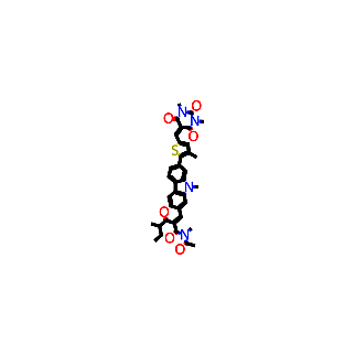 CCC(C)C(=O)/C(=C\c1ccc2c3ccc(-c4sc(C=C5C(=O)N(C)C(=O)N(C)C5=O)cc4C)cc3n(C)c2c1)C(=O)N(C)C(C)=O